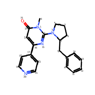 Cn1c(N2CCCC2Cc2ccccc2)nc(-c2ccncc2)cc1=O